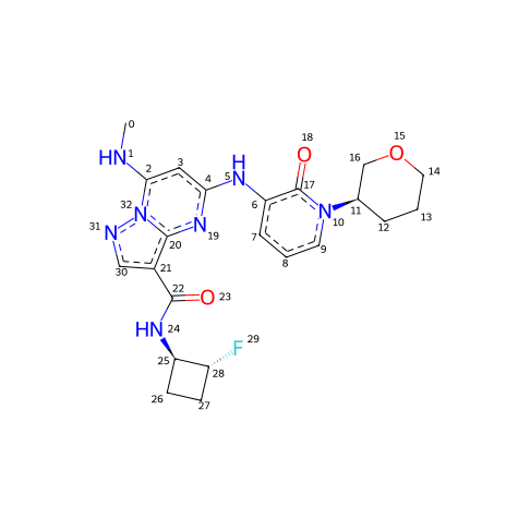 CNc1cc(Nc2cccn([C@@H]3CCCOC3)c2=O)nc2c(C(=O)N[C@@H]3CC[C@H]3F)cnn12